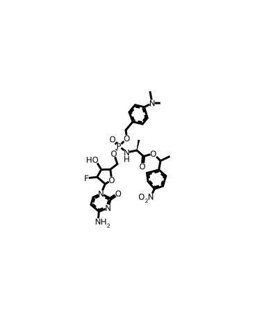 CC(OC(=O)[C@H](C)NP(=O)(OCc1ccc(N(C)C)cc1)OCC1OC(n2ccc(N)nc2=O)C(F)C1O)c1ccc([N+](=O)[O-])cc1